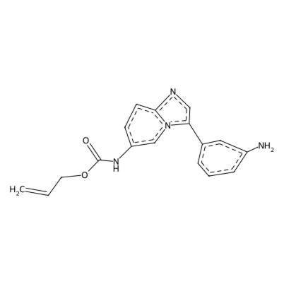 C=CCOC(=O)Nc1ccc2ncc(-c3cccc(N)c3)n2c1